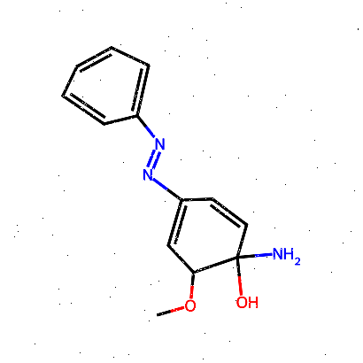 COC1C=C(N=Nc2ccccc2)C=CC1(N)O